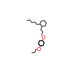 CCCCCC1CCCCC1CCCOc1ccc(OCCC)cc1